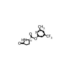 Cc1cc(C(F)(F)F)cc(OC(=O)[C@@H]2CCC(=O)N2)n1